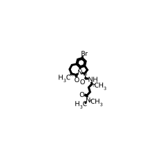 C[C@H](CCC(=O)N(C)C)NC(=O)[C@@H]1Cc2cc(Br)cc3c2N1C(=O)[C@@H](C)CC3